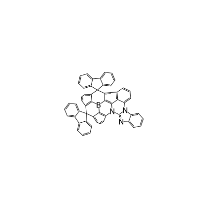 c1ccc2c(c1)-c1ccccc1C21c2cccc3c2B2c4c1cccc4C1(c4ccccc4-c4ccccc41)c1cc4cccc5c4c(c12)n-3c1nc2ccccc2n51